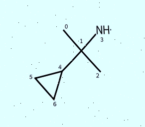 CC(C)([NH])C1CC1